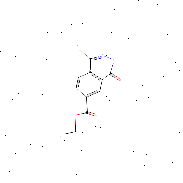 CCOC(=O)c1ccc2c(Cl)n[nH]c(=O)c2c1